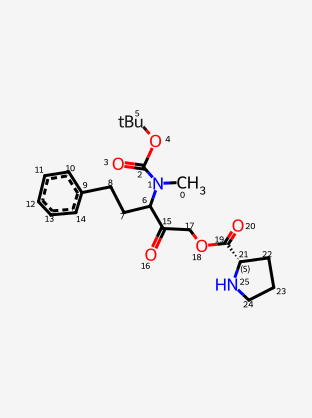 CN(C(=O)OC(C)(C)C)C(CCc1ccccc1)C(=O)COC(=O)[C@@H]1CCCN1